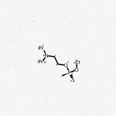 CCO[P@](C)(=S)OCCN(C(C)C)C(C)C